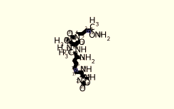 C/C(=C/CCn1c(=O)c(N[C@@H](C)C(N)C=C/C=C\C(=N)c2nc(=O)o[nH]2)c(N)n(C)c1=O)ON